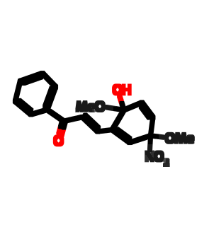 COC1(O)C=CC(OC)([N+](=O)[O-])C=C1C=CC(=O)c1ccccc1